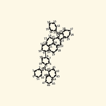 c1ccc(N(c2ccc(-c3ccc4ccc5c6c(ccc3c46)cc3c4ccccc4n(-c4ccccc4)c35)cc2)c2cccc3ccccc23)cc1